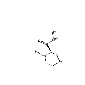 CC(C)NC(=O)[C@H]1CSCCN1C(C)C